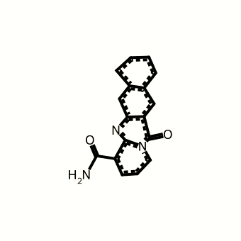 NC(=O)c1cccn2c(=O)c3cc4ccccc4cc3nc12